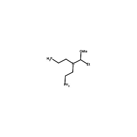 CCC(OC)N(CCP)CCP